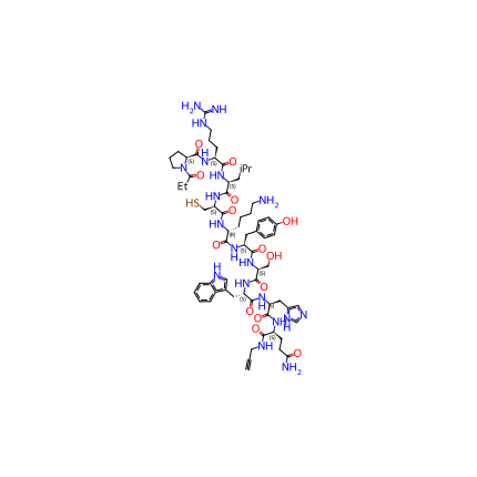 C#CCNC(=O)[C@H](CCC(N)=O)NC(=O)[C@H](Cc1cnc[nH]1)NC(=O)[C@H](Cc1c[nH]c2ccccc12)NC(=O)[C@H](CO)NC(=O)[C@H](Cc1ccc(O)cc1)NC(=O)[C@@H](CCCCN)NC(=O)[C@@H](CS)NC(=O)[C@H](CC(C)C)NC(=O)[C@H](CCCNC(=N)N)NC(=O)[C@@H]1CCCN1C(=O)CC